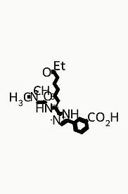 CCC(=O)CCCCC[C@H](NC(=O)CN(C)C)C1=[N+]C=C(c2cccc(C(=O)O)c2)N1